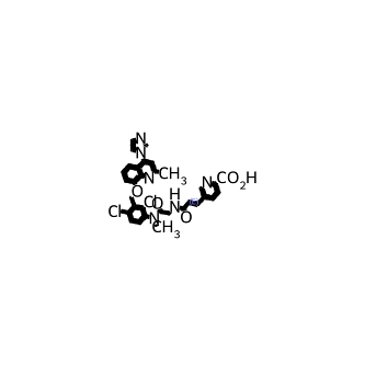 Cc1cc(-n2ccnc2)c2cccc(OCc3c(Cl)ccc(N(C)C(=O)CNC(=O)/C=C/c4ccc(C(=O)O)nc4)c3Cl)c2n1